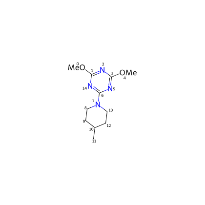 COc1nc(OC)nc(N2CCC(C)CC2)n1